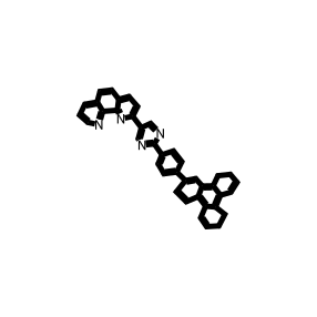 C1=Cc2c(c3c(c4cc(-c5ccc(-c6ncc(-c7ccc8ccc9cccnc9c8n7)cn6)cc5)ccc24)CCC=C3)CC1